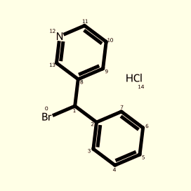 BrC(c1ccccc1)c1cccnc1.Cl